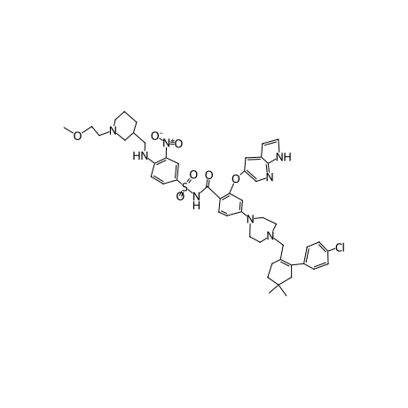 COCCN1CCCC(CNc2ccc(S(=O)(=O)NC(=O)c3ccc(N4CCN(CC5=C(c6ccc(Cl)cc6)CC(C)(C)CC5)CC4)cc3Oc3cnc4[nH]ccc4c3)cc2[N+](=O)[O-])C1